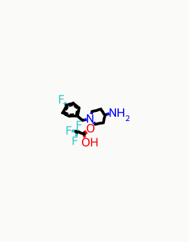 NC1CCN(Cc2ccc(F)cc2)CC1.O=C(O)C(F)(F)F